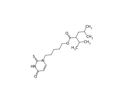 CC(C)CC(C(=O)OCCCCCn1ccc(=O)[nH]c1=S)C(C)C